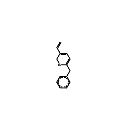 C=CC1=CC=C(Cc2ccccc2)NC1